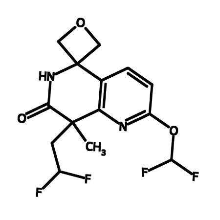 CC1(CC(F)F)C(=O)NC2(COC2)c2ccc(OC(F)F)nc21